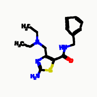 CCN(CC)Cc1nc(N)sc1C(=O)NCc1ccccc1